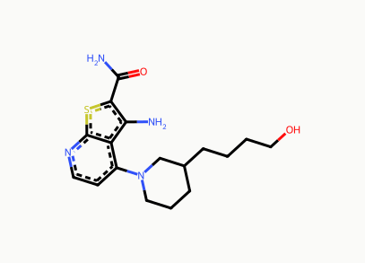 NC(=O)c1sc2nccc(N3CCCC(CCCCO)C3)c2c1N